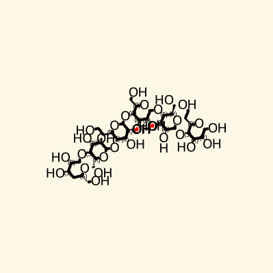 OCC[C@H]1OC(O)[C@H](O)[C@@H](O)[C@@H]1OC1O[C@H](CO)[C@@H](OC2O[C@H](CO)[C@@H](OC3O[C@H](CCO)[C@@H](OC4O[C@H](CO)[C@@H](OC5O[C@H](CO)C[C@H](O)[C@H]5O)[C@H](O)[C@H]4O)[C@H](O)[C@H]3O)[C@H](O)[C@H]2O)[C@H](O)[C@H]1O